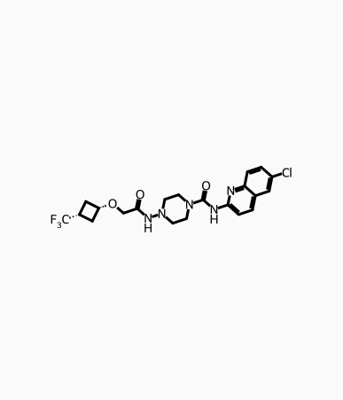 O=C(CO[C@H]1C[C@@H](C(F)(F)F)C1)NN1CCN(C(=O)Nc2ccc3cc(Cl)ccc3n2)CC1